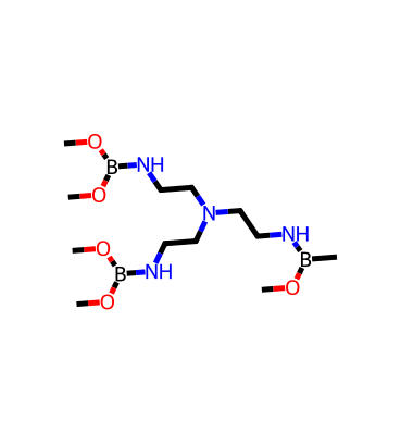 COB(C)NCCN(CCNB(OC)OC)CCNB(OC)OC